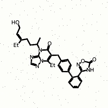 CC/C(=C/CO)CCC(C)n1c(=O)c(Cc2ccc(-c3ccccc3-c3noc(=O)[nH]3)cc2)c(CC)n2ncnc12